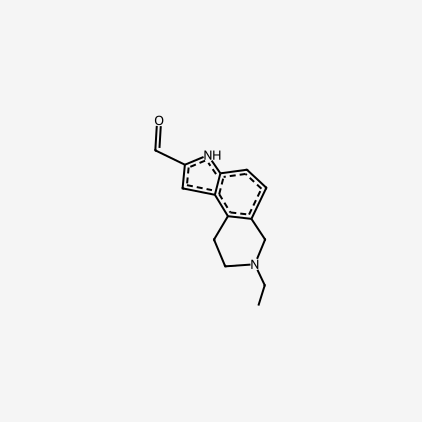 CCN1CCc2c(ccc3[nH]c(C=O)cc23)C1